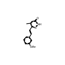 CSc1cccc(/C=C/c2n[nH]c(=O)cc2C)c1